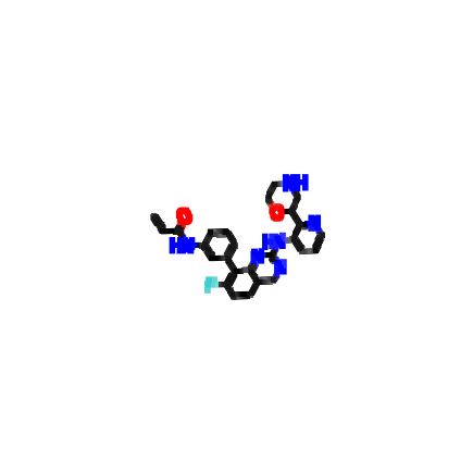 C=CC(=O)Nc1cccc(-c2c(F)ccc3cnc(Nc4cccnc4C4CNCCO4)nc23)c1